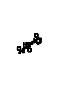 CC(=O)SCC(=O)NCCN1CCCC1=O